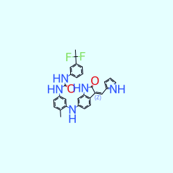 Cc1ccc(NC(=O)Nc2cccc(C(C)(F)F)c2)cc1Nc1ccc2c(c1)NC(=O)/C2=C\c1ccc[nH]1